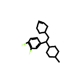 CC1CCC(C(CC2CC=CCC2)c2ccc(F)c(F)c2)CC1